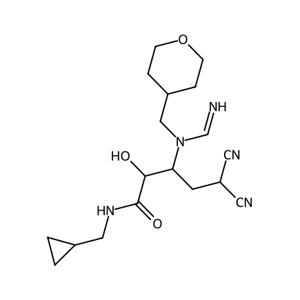 N#CC(C#N)CC(C(O)C(=O)NCC1CC1)N(C=N)CC1CCOCC1